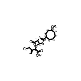 C=C(CCl)C(C(=O)O)N1C(=O)C2N=C(C3CCCCC(OC)CC3)SC21